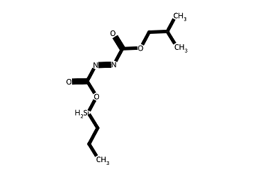 CCC[SiH2]OC(=O)/N=N/C(=O)OCC(C)C